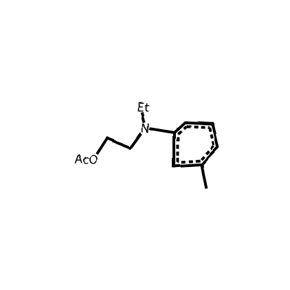 CCN(CCOC(C)=O)c1cccc(C)c1